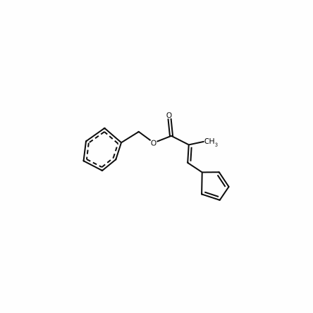 CC(=CC1C=CC=C1)C(=O)OCc1ccccc1